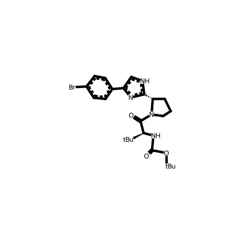 CC(C)(C)OC(=O)N[C@H](C(=O)N1CCC[C@H]1c1nc(-c2ccc(Br)cc2)c[nH]1)C(C)(C)C